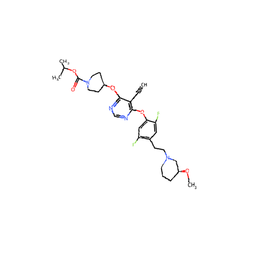 C#Cc1c(Oc2cc(F)c(CCN3CCC[C@H](OC)C3)cc2F)ncnc1OC1CCN(C(=O)OC(C)C)CC1